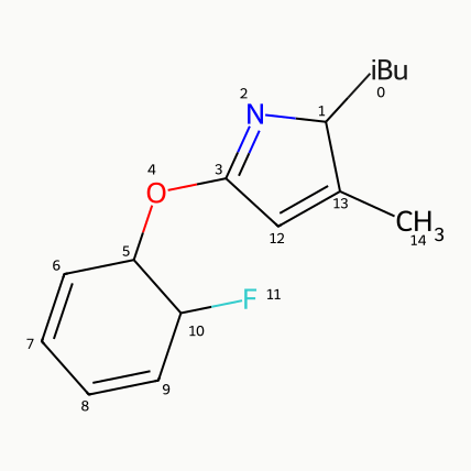 CCC(C)C1N=C(OC2C=CC=CC2F)C=C1C